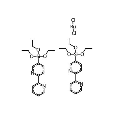 CCO[Si](OCC)(OCC)c1ccc(-c2ccccn2)nc1.CCO[Si](OCC)(OCC)c1ccc(-c2ccccn2)nc1.[Cl][Ru][Cl]